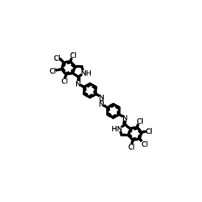 Clc1c(Cl)c(Cl)c2c(c1Cl)CN/C2=N\c1ccc(/N=N/c2ccc(/N=C3\NCc4c(Cl)c(Cl)c(Cl)c(Cl)c43)cc2)cc1